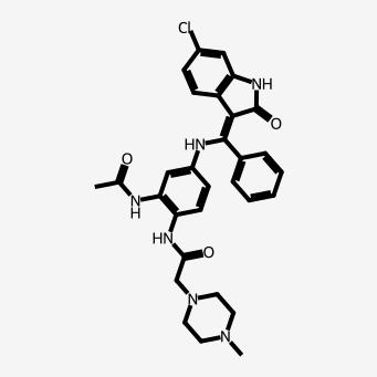 CC(=O)Nc1cc(NC(=C2C(=O)Nc3cc(Cl)ccc32)c2ccccc2)ccc1NC(=O)CN1CCN(C)CC1